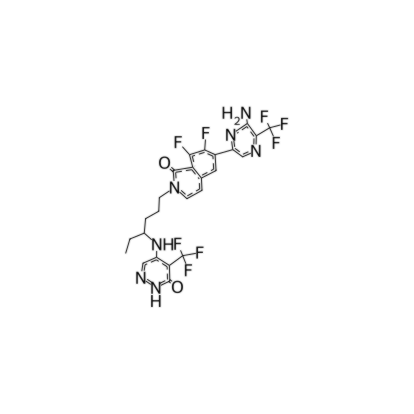 CCC(CCCn1ccc2cc(-c3cnc(C(F)(F)F)c(N)n3)c(F)c(F)c2c1=O)Nc1cn[nH]c(=O)c1C(F)(F)F